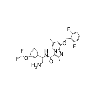 Cc1cc(OCc2c(F)cccc2F)c2nc(C)c(C(=O)NC(CN)c3cccc(OC(F)F)c3)n2c1